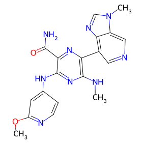 CNc1nc(Nc2ccnc(OC)c2)c(C(N)=O)nc1-c1cncc2c1ncn2C